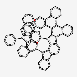 c1ccc(-c2nc(-n3c4c(c5ccccc5c5c6ccccc6c6ccccc6c54)c4ccc5c6ccccc6n(-c6ccc7c(c6)c6ccccc6n7-c6ccccc6)c5c43)nc3c2ccc2ccccc23)cc1